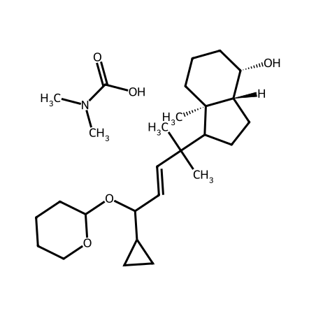 CC(C)(/C=C/C(OC1CCCCO1)C1CC1)C1CC[C@H]2[C@@H](O)CCC[C@]12C.CN(C)C(=O)O